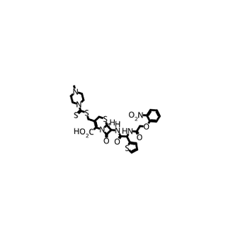 CN1CCN(C(=S)SCC2=C(C(=O)O)N3C(=O)C(NC(=O)C(NC(=O)COc4ccccc4[N+](=O)[O-])c4cccs4)[C@@H]3SC2)CC1